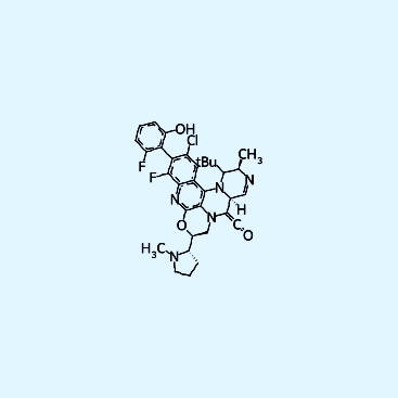 C[C@H]1N=C[C@H]2C(=C=O)N3C[C@@H]([C@@H]4CCCN4C)Oc4nc5c(F)c(-c6c(O)cccc6F)c(Cl)cc5c(c43)N2C1C(C)(C)C